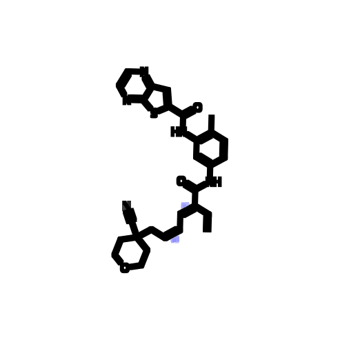 C=C/C(=C\C=C/CC1(C#N)CCOCC1)C(=O)Nc1ccc(C)c(NC(=O)c2cc3nccnc3s2)c1